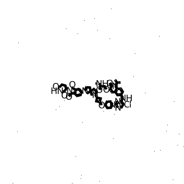 CNC(=O)COc1cc2cc(Nc3nc(N4CCC(OC5CC(N6CCC7(CCN(c8ccc9c(c8)C(=O)N(C8CCC(=O)NC8=O)C9=O)C7)C6)C5)CC4)ncc3Cl)ccc2n(C(C)C)c1=O